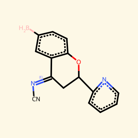 Bc1ccc2c(c1)/C(=N/C#N)CC(c1ccccn1)O2